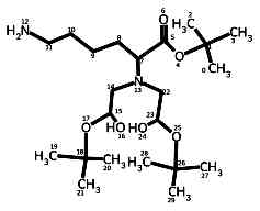 CC(C)(C)OC(=O)C(CCCCN)N(CC(O)OC(C)(C)C)CC(O)OC(C)(C)C